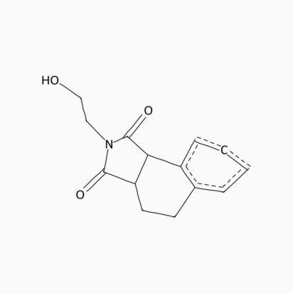 O=C1C2CCc3ccccc3C2C(=O)N1CCO